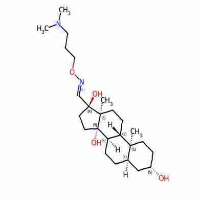 CN(C)CCCO/N=C/[C@@]1(O)CC[C@]2(O)[C@@H]3CC[C@@H]4C[C@@H](O)CC[C@]4(C)[C@H]3CC[C@]12C